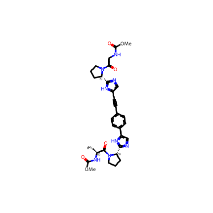 COC(=O)NCC(=O)N1CCC[C@H]1c1ncc(C#Cc2ccc(-c3cnc([C@@H]4CCCN4C(=O)[C@@H](NC(=O)OC)C(C)C)[nH]3)cc2)[nH]1